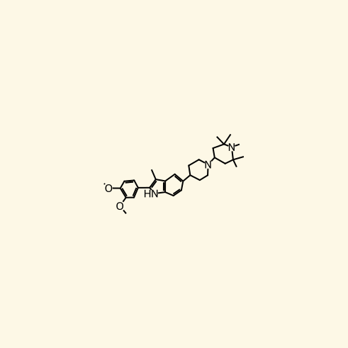 COc1ccc(-c2[nH]c3ccc(C4CCN(C5CC(C)(C)N(C)C(C)(C)C5)CC4)cc3c2C)cc1OC